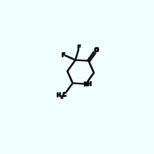 CC1CC(F)(F)C(=O)CN1